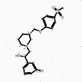 CS(=O)(=O)c1ccc(OC[C@@H]2CCCN(C[C@H](O)c3cccc(Cl)c3)C2)cc1